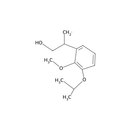 [CH2]C(CO)c1cccc(OC(C)C)c1OC